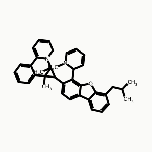 CC(C)Cc1cccc2c1oc1c(C3C=CC=CN3C)c(C3C4(C)c5ccccc5C5=CC=CCN5C34C)ccc12